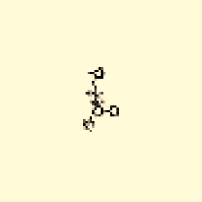 COc1ccccc1-c1cc(OC(=O)NCCc2ccccc2C)cc(-n2cnnn2)c1